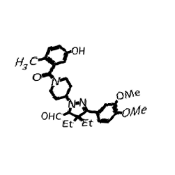 CCC1(CC)C(c2ccc(OC)c(OC)c2)=NN(C2CCN(C(=O)c3cc(O)ccc3C)CC2)C1C=O